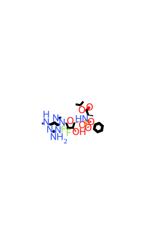 CNc1nc(N)nc2c1ncn2[C@@H]1O[C@H](CO[P@@](=O)(N[C@H](C)C(=O)OC(C)C)Oc2ccccc2)[C@@H](O)C1(F)F